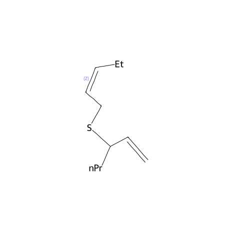 C=CC(CCC)SC/C=C\CC